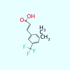 CC.O=C(O)C=Cc1cccc(C(F)(F)F)c1